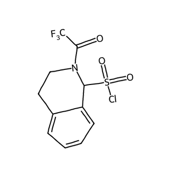 O=C(N1CCc2ccccc2C1S(=O)(=O)Cl)C(F)(F)F